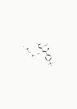 CCn1nc(C)cc1/C(OCOC(=O)SCC(=O)OC)=C(\C#N)c1ccc(C(C)(C)C)cc1